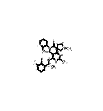 COc1ncccc1N1Cc2c(N[C@H](C)c3cccc(C(F)(F)F)c3F)nc(C)nc2C2(CCN(C)C2)C1=O